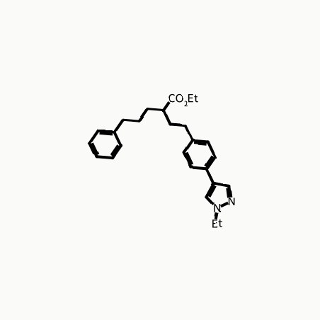 CCOC(=O)C(CCCc1ccccc1)CCc1ccc(-c2cnn(CC)c2)cc1